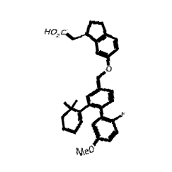 COc1ccc(F)c(-c2ccc(COc3ccc4c(c3)[C@@H](CC(=O)O)CC4)cc2C2=CCCCC2(C)C)c1